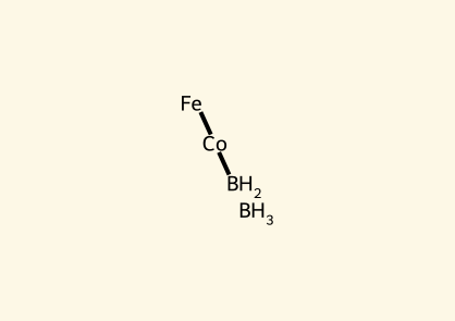 B.[BH2][Co][Fe]